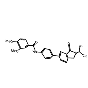 COc1ccc(C(=O)Nc2ccc(-c3ccc4c(c3)C(=O)N(C(C(=O)O)C(C)C)C4)cc2)cc1OC